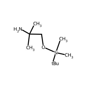 CC(C)(N)CO[Si](C)(C)C(C)(C)C